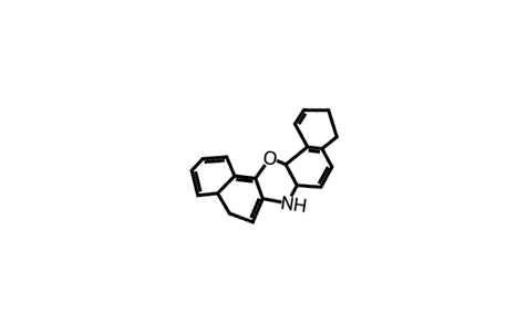 C1=CC2=C3OC4C5=C(C=CC4NC3=CCC2C=C1)CCC=C5